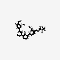 COc1cc(-c2nccc(-c3cccc(-c4ccc(COC(=O)NC(C)(C)C)c(OC)n4)c3Cl)c2Cl)cc(F)c1C=O